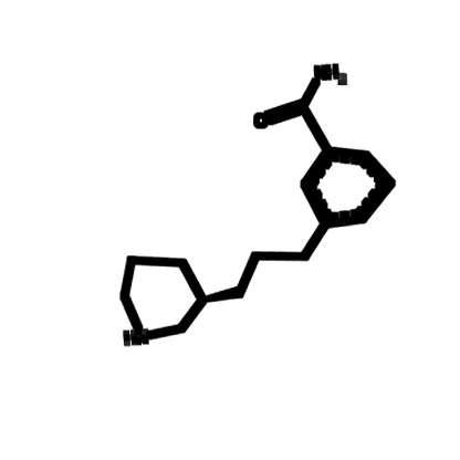 NC(=O)c1cccc(CCC[C@@H]2CCCNC2)c1